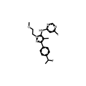 COCCn1nc(-c2ccc(C(C)F)cc2)c(C)c1Nc1cc(I)ncn1